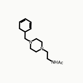 CC(=O)NCCN1CCN(CC2C=CC=CC2)CC1